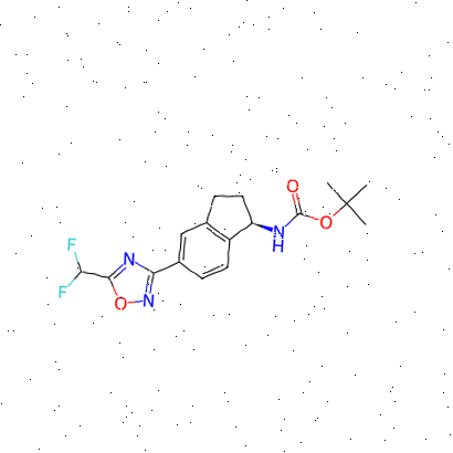 CC(C)(C)OC(=O)N[C@@H]1CCc2cc(-c3noc(C(F)F)n3)ccc21